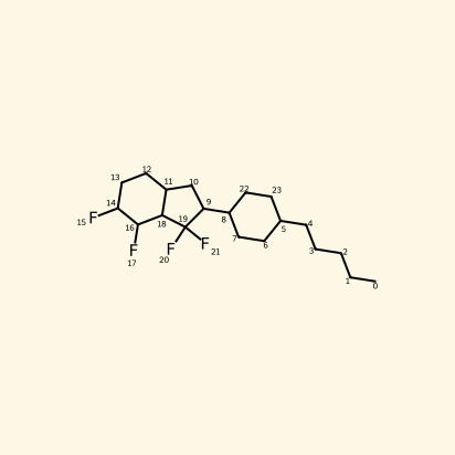 CCCCCC1CCC(C2CC3CCC(F)C(F)C3C2(F)F)CC1